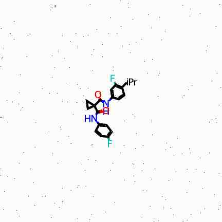 CC(C)c1ccc(NC(=O)C2(C(=O)Nc3ccc(F)cc3)CC2)cc1F